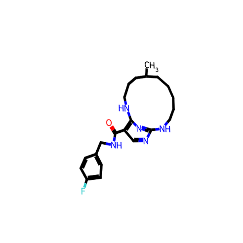 CC1CCCCCNc2ncc(C(=O)NCc3ccc(F)cc3)c(n2)NCCC1